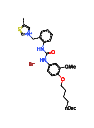 CCCCCCCCCCCCCCOc1ccc(NC(=O)Nc2ccccc2C[n+]2csc(C)c2)cc1OC.[Br-]